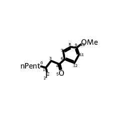 CCCCCC(F)CC(=O)c1ccc(OC)cc1